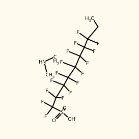 CCC(F)(F)C(F)(F)C(F)(F)C(F)(F)C(F)(F)C(F)(F)C(F)(F)C(F)(F)S(=O)(=O)O.CNC